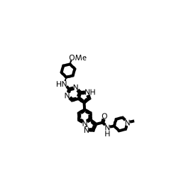 CO[C@H]1CC[C@@H](Nc2ncc3c(-c4ccn5ncc(C(=O)NC6CCN(C)CC6)c5c4)c[nH]c3n2)CC1